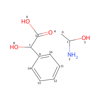 CC(N)O.O=C(O)C(O)c1ccccc1